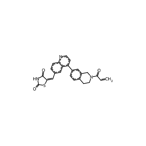 C=CC(=O)N1CCc2ccc(-c3ccnc4ccc(C=C5SC(=O)NC5=O)cc34)cc2C1